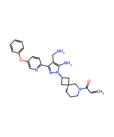 C=CC(=O)N1CCC[C@]2(C1)C[C@H](n1nc(-c3ccc(Oc4ccccc4)cn3)c(CN)c1N)C2